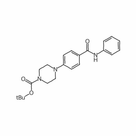 CC(C)(C)OC(=O)N1CCN(c2ccc(C(=O)Nc3ccccc3)cc2)CC1